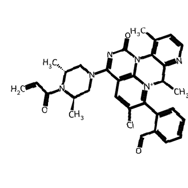 C=CC(=O)N1[C@H](C)CN(c2nc(=O)n3c4c2cc(Cl)c(-c2ccccc2C=O)[n+]4C(C)c2nccc(C)c2-3)C[C@H]1C